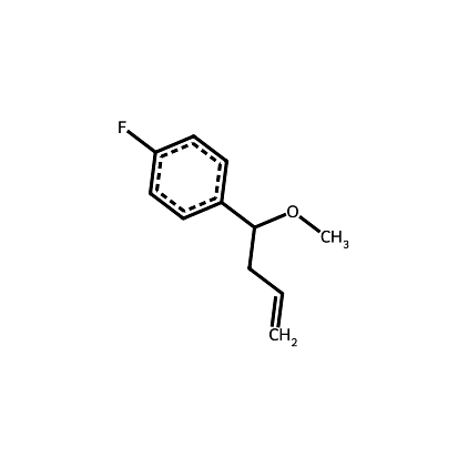 C=CCC(OC)c1ccc(F)cc1